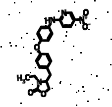 CCN1C(=O)OCC1Cc1ccc(Oc2ccc(Nc3ccc([N+](=O)[O-])cn3)cc2)cc1